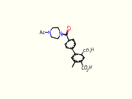 CC(=O)N1CCN(C(=O)c2ccc(-c3cc(C)c(C(=O)O)cc3C(=O)O)cc2)CC1